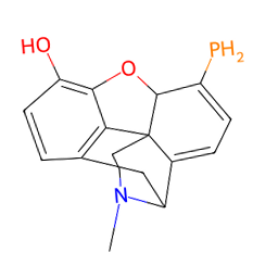 CN1CCC23C4=CC=C(P)C2Oc2c(O)ccc(c23)CC41